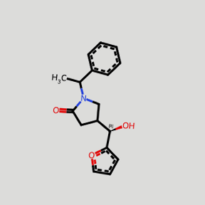 CC(c1ccccc1)N1CC([C@@H](O)c2ccco2)CC1=O